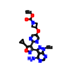 CC(C)(C)OC(=O)N1CC(Oc2cnc(-c3c(-c4nn(C(C)(C)C)c5ncnc(N)c45)noc3C3CC3)nc2)C1